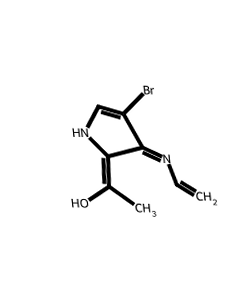 C=C/N=C1/C(Br)=CN/C1=C(/C)O